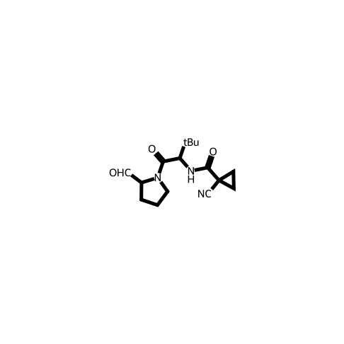 CC(C)(C)C(NC(=O)C1(C#N)CC1)C(=O)N1CCCC1C=O